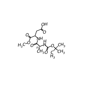 COC(=O)C(CC(=O)O)NC(=O)[C@H](C)NC(=O)OC(C)(C)C